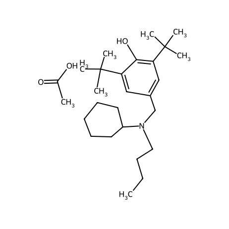 CC(=O)O.CCCCN(Cc1cc(C(C)(C)C)c(O)c(C(C)(C)C)c1)C1CCCCC1